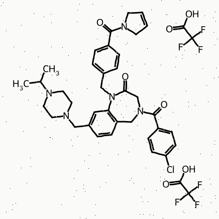 CC(C)N1CCN(Cc2ccc3c(c2)N(Cc2ccc(C(=O)N4CC=CC4)cc2)C(=O)CN(C(=O)c2ccc(Cl)cc2)C3)CC1.O=C(O)C(F)(F)F.O=C(O)C(F)(F)F